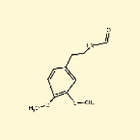 COc1ccc(CCNC=O)cc1OC